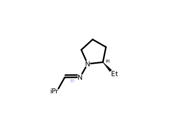 CC[C@@H]1CCCN1/N=C/C(C)C